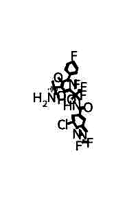 C[C@]1(C(N)=O)COc2c1cc(C(O)(CNC(=O)c1cc(Cl)c3nn(C(F)F)cc3c1)C(F)(F)F)nc2-c1ccc(F)cc1